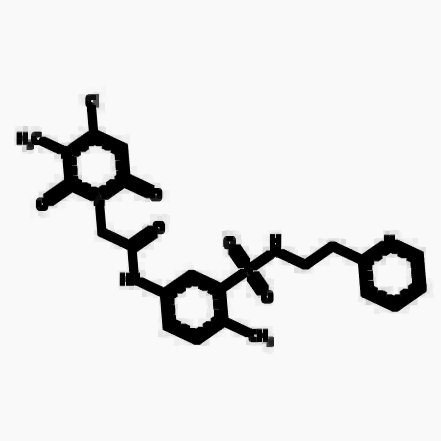 Cc1ccc(NC(=O)Cn2c(=O)cc(Cl)n(C)c2=O)cc1S(=O)(=O)NCCc1ccccn1